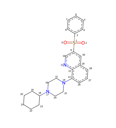 O=S(=O)(c1ccccc1)c1cnc2c(N3CCN(C4CCCCC4)CC3)cccc2c1